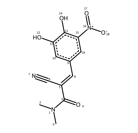 CN(C)C(=O)/C(C#N)=C/c1cc(O)c(O)c([N+](=O)[O-])c1